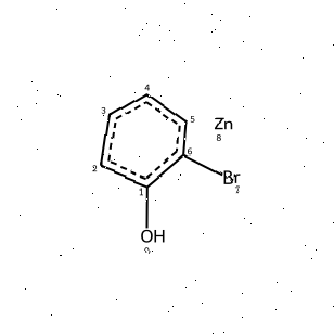 Oc1ccccc1Br.[Zn]